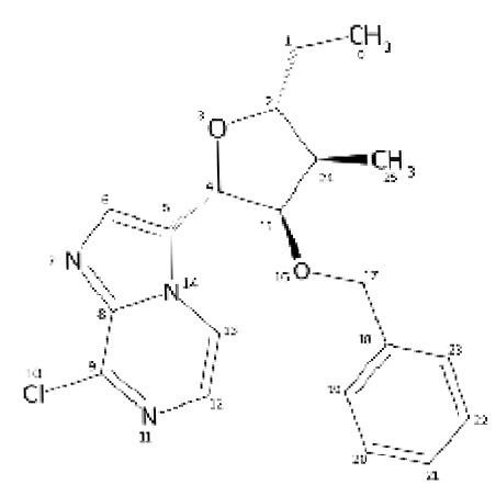 CC[C@H]1O[C@@H](c2cnc3c(Cl)nccn23)[C@H](OCc2ccccc2)[C@@H]1C